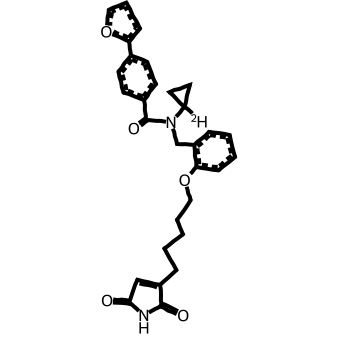 [2H]C1(N(Cc2ccccc2OCCCCCC2=CC(=O)NC2=O)C(=O)c2ccc(-c3ccco3)cc2)CC1